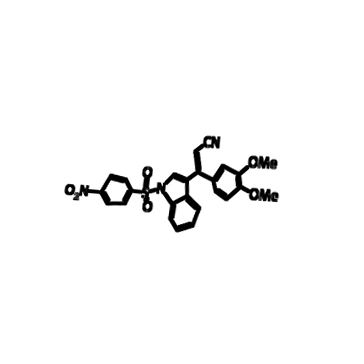 COc1ccc(C(=CC#N)c2cn(S(=O)(=O)c3ccc([N+](=O)[O-])cc3)c3ccccc23)cc1OC